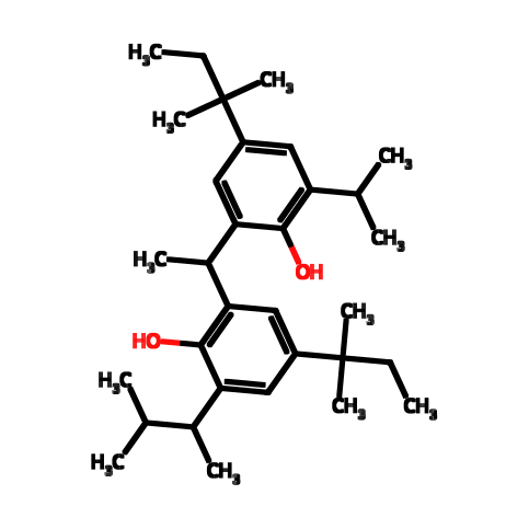 CCC(C)(C)c1cc(C(C)C)c(O)c(C(C)c2cc(C(C)(C)CC)cc(C(C)C(C)C)c2O)c1